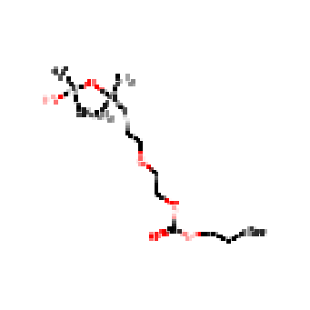 CCCCCCCCCCCCOC(=O)OCCOCCC[Si](C)(C)O[Si](C)(C)O